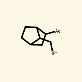 CC(=O)C1CC2CCC1C2CC(C)C